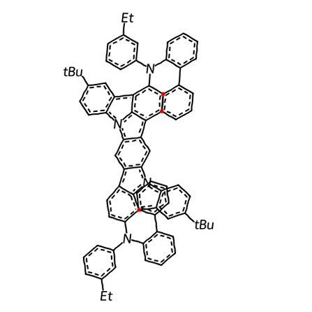 CCc1cccc(N(c2ccccc2-c2ccccc2)c2ccc3c4cc5c(cc4n4c6ccc(C(C)(C)C)cc6c2c34)c2ccc(N(c3cccc(CC)c3)c3ccccc3-c3ccccc3)c3c4cc(C(C)(C)C)ccc4n5c23)c1